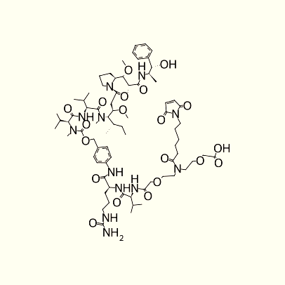 CC[C@H](C)[C@@H]([C@@H](CC(=O)N1CCC[C@H]1[C@H](OC)[C@@H](C)C(=O)N[C@H](C)[C@@H](O)c1ccccc1)OC)N(C)C(=O)[C@@H](NC(=O)[C@H](C(C)C)N(C)C(=O)OCc1ccc(NC(=O)[C@H](CCCNC(N)=O)NC(=O)[C@@H](NC(=O)COCCN(CCOCC(=O)O)C(=O)CCCCCN2C(=O)C=CC2=O)C(C)C)cc1)C(C)C